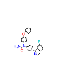 NC(=O)N(c1ccc(Oc2ccccc2)cc1)c1ccc(C2=NCCc3ccc(F)cc32)cc1